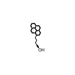 OC#CCCCc1ccc2ccc3cccc4ccc1c2c34